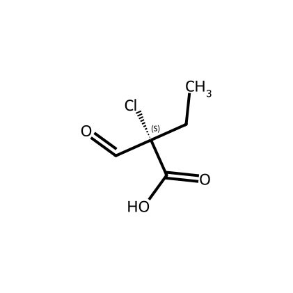 CC[C@](Cl)(C=O)C(=O)O